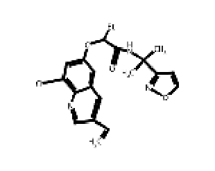 C=Cc1cnc2c(Cl)cc(OC(CC)C(=O)NC(C)(C)c3ccon3)cc2c1